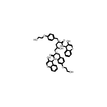 O=C(NC1C(O)=CSc2ccccc21)[C@H](Cc1ccc(OCCO)cc1)CC(O)C[C@@H](Cc1ccc(OCCO)cc1)C(=O)NC1C(O)=CSc2ccccc21